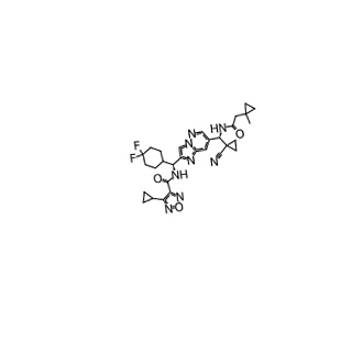 CC1(CC(=O)N[C@H](c2cnn3cc([C@@H](NC(=O)c4nonc4C4CC4)C4CCC(F)(F)CC4)nc3c2)C2(C#N)CC2)CC1